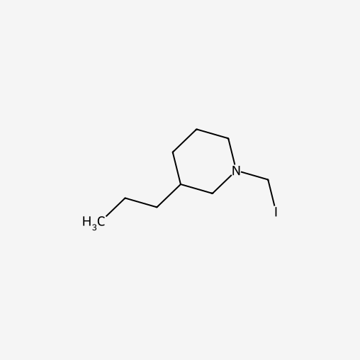 CCCC1CCCN(CI)C1